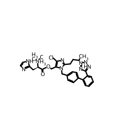 CCCCc1nc(Cl)c(COC(=O)[C@@H](Cc2ncc[nH]2)N(C)C)n1Cc1ccc(-c2ccccc2-c2nn[nH]n2)cc1